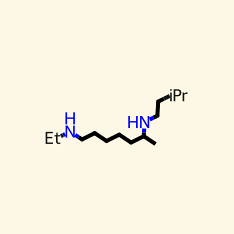 CCNCCCCCC(C)NCCC(C)C